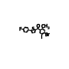 Cc1cc(Br)c(I)cc1C(=O)c1ccc(-c2ccc(F)cc2)s1